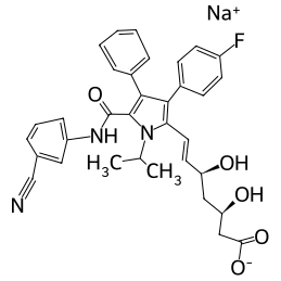 CC(C)n1c(C=C[C@@H](O)C[C@@H](O)CC(=O)[O-])c(-c2ccc(F)cc2)c(-c2ccccc2)c1C(=O)Nc1cccc(C#N)c1.[Na+]